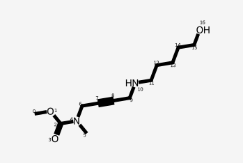 COC(=O)N(C)CC#CCNCCCCCO